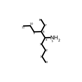 CCCCC(N)C(CC)CCC